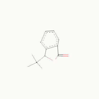 CC(C)(C)C1OC(=O)c2ccccc21